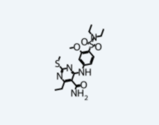 CCc1nc(SC)nc(Nc2ccc(S(=O)(=O)N(CC)CC)c(OC)c2)c1C(N)=O